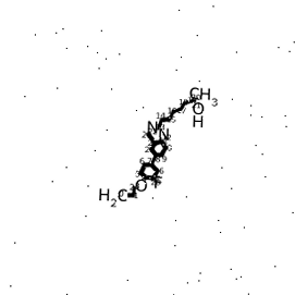 C=CCOc1ccc(-c2ccc3nc(C=CCCCC(C)O)ncc3c2)cc1F